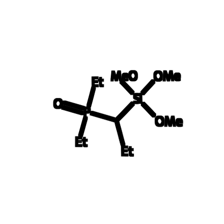 CCC([Si](OC)(OC)OC)P(=O)(CC)CC